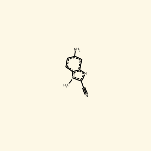 Cn1c(C#N)nc2cc(N)ccc21